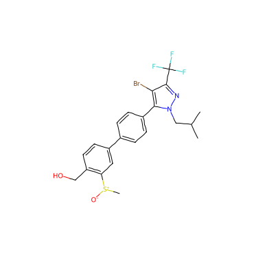 CC(C)Cn1nc(C(F)(F)F)c(Br)c1-c1ccc(-c2ccc(CO)c([S+](C)[O-])c2)cc1